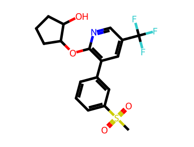 CS(=O)(=O)c1cccc(-c2cc(C(F)(F)F)cnc2OC2CCCC2O)c1